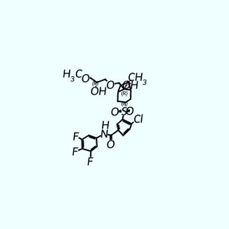 COC[C@@H](O)COC[C@@]1(O)C2C[C@@H](S(=O)(=O)c3cc(C(=O)Nc4cc(F)c(F)c(F)c4)ccc3Cl)CC1[C@@H](C)C2